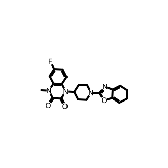 Cn1c(=O)c(=O)n(C2CCN(c3nc4c(o3)=CCCC=4)CC2)c2ccc(F)cc21